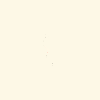 CCCCCCOCCCCCC.[Ti]